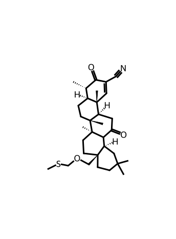 CSCOC[C@]12CCC(C)(C)C[C@@H]1C1C(=O)C[C@@H]3[C@@]4(C)C=C(C#N)C(=O)[C@@H](C)[C@@H]4CC[C@@]3(C)[C@]1(C)CC2